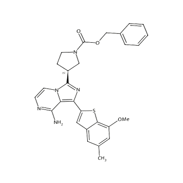 COc1cc(C)cc2cc(-c3nc([C@H]4CCN(C(=O)OCc5ccccc5)C4)n4ccnc(N)c34)sc12